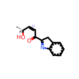 C[C@@H](O)/C=C\C(=O)C1=Nc2ccccc2C1